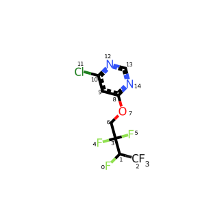 FC(C(F)(F)F)C(F)(F)COc1cc(Cl)ncn1